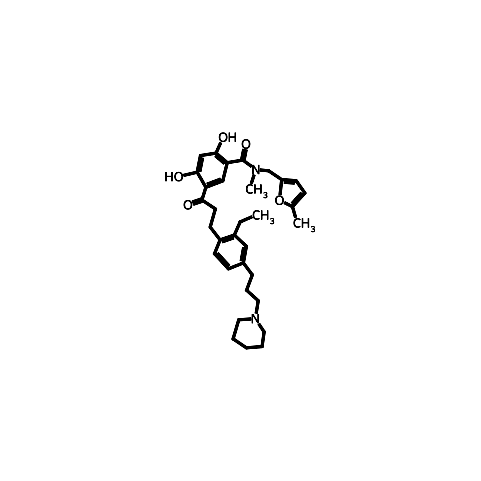 CCc1cc(CCCN2CCCCC2)ccc1CCC(=O)c1cc(C(=O)N(C)Cc2ccc(C)o2)c(O)cc1O